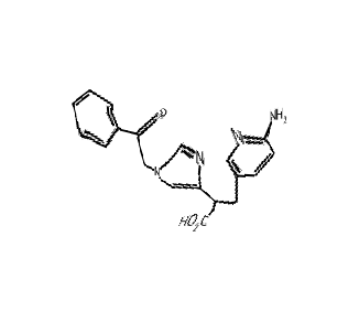 Nc1ccc(CC(C(=O)O)c2cn(CC(=O)c3ccccc3)cn2)cn1